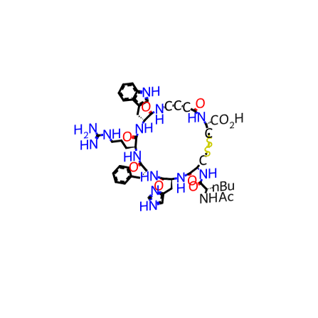 CCCC[C@H](NC(C)=O)C(=O)N[C@H]1CSSC[C@@H](C(=O)O)NC(=O)CCCNC(=O)[C@@H](Cc2c[nH]c3ccccc23)NC(=O)[C@H](CCCNC(=N)N)NC(=O)[C@@H](Cc2ccccc2)NC(=O)[C@H](Cc2c[nH]cn2)NC1=O